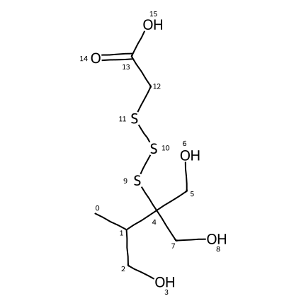 CC(CO)C(CO)(CO)SSSCC(=O)O